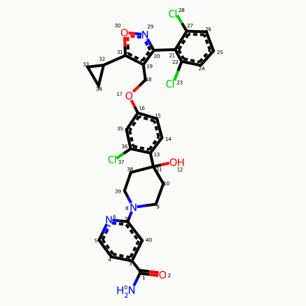 NC(=O)c1ccnc(N2CCC(O)(c3ccc(OCc4c(-c5c(Cl)cccc5Cl)noc4C4CC4)cc3Cl)CC2)c1